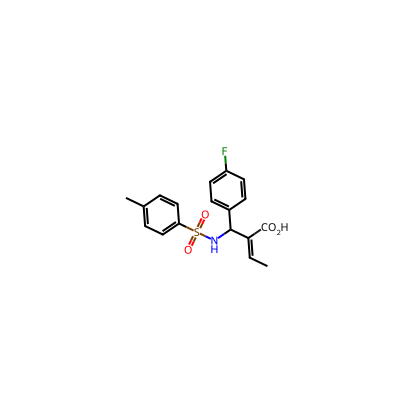 CC=C(C(=O)O)C(NS(=O)(=O)c1ccc(C)cc1)c1ccc(F)cc1